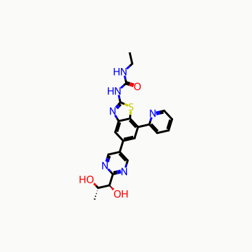 CCNC(=O)Nc1nc2cc(-c3cnc([C@@H](O)[C@H](C)O)nc3)cc(-c3ccccn3)c2s1